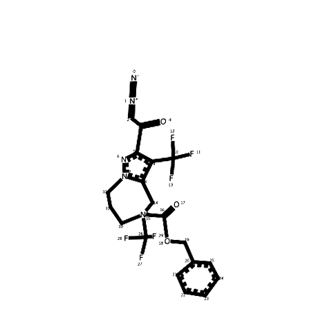 [N-]=[N+]=CC(=O)c1nn2c(c1C(F)(F)F)C[N+](C(=O)OCc1ccccc1)(C(F)(F)F)CCC2